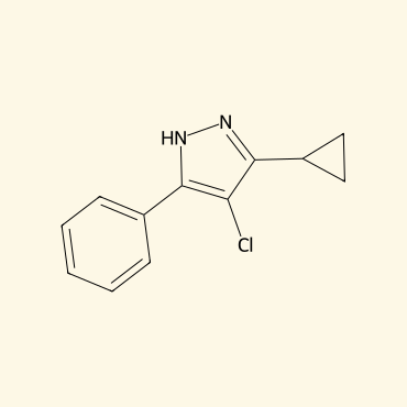 Clc1c(C2CC2)n[nH]c1-c1ccccc1